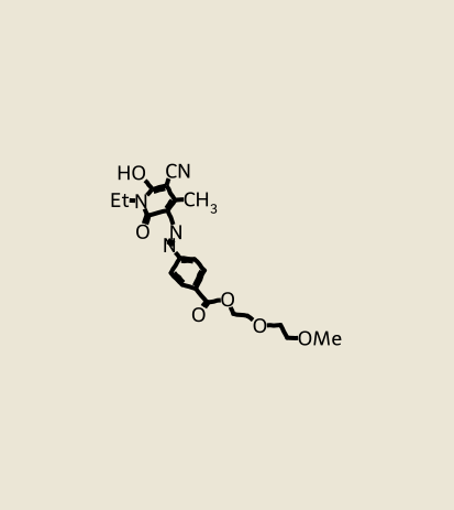 CCn1c(O)c(C#N)c(C)c(N=Nc2ccc(C(=O)OCCOCCOC)cc2)c1=O